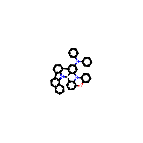 c1ccc(N(c2ccccc2)c2cc3c4c(c2)N2c5ccccc5Oc5cccc(c52)B4n2c4c-3cccc4c3ccc4ccccc4c32)cc1